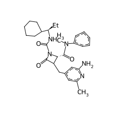 CC[C@@H](NC(=O)N1C(=O)C(Cc2cc(C)nc(N)c2)[C@H]1C(=O)N(C)c1ccccc1)C1CCCCC1